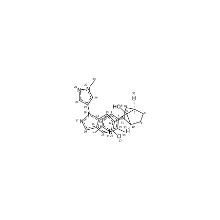 Cc1ccc(C2(O)[C@@H]3CC[C@H]2N(c2cc4c(cnn4-c4cnn(C)c4)cc2Cl)C3)c(C)n1